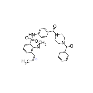 C=Nc1c(/C=C\C)cccc1S(=O)(=O)Nc1ccc(C(=O)N2CCN(C(=O)c3ccccc3)CC2)cc1